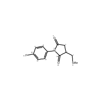 CSCC1CC(=O)N(c2ccc(F)cc2)C1=O